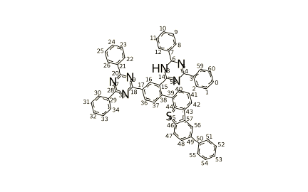 c1ccc(C2=NC(c3ccccc3)NC(c3cc(-c4nc(-c5ccccc5)nc(-c5ccccc5)n4)ccc3-c3cccc4c3sc3ccc(-c5ccccc5)cc34)=N2)cc1